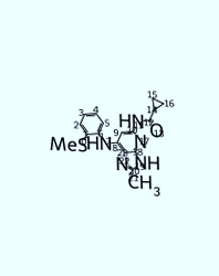 CSc1ccccc1Nc1cc(NC(=O)C2CC2)nc2[nH]c(C)nc12